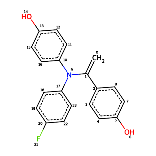 C=C(c1ccc(O)cc1)N(c1ccc(O)cc1)c1ccc(F)cc1